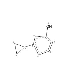 Oc1cccc([C]2CC2)c1